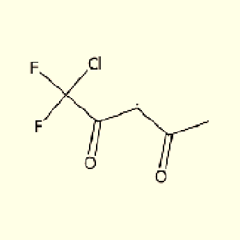 CC(=O)[CH]C(=O)C(F)(F)Cl